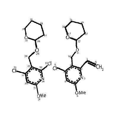 C=Cc1nc(OC)cc(Cl)c1COC1CCCCO1.COc1cc(Cl)c(COC2CCCCO2)c(Cl)n1